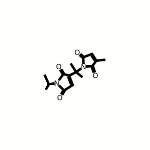 CC1=CC(=O)N(C(C)(C)C2=CC(=O)N(C(C)C)C2=O)C1=O